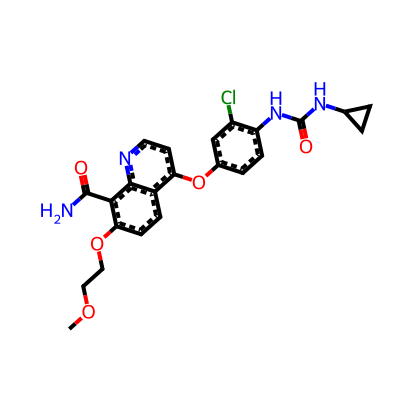 COCCOc1ccc2c(Oc3ccc(NC(=O)NC4CC4)c(Cl)c3)ccnc2c1C(N)=O